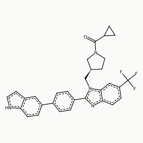 O=C(C1CC1)N1CC[C@@H](Cn2c(-c3ccc(-c4ccc5[nH]ccc5c4)cc3)nc3ccc(C(F)(F)F)cc32)C1